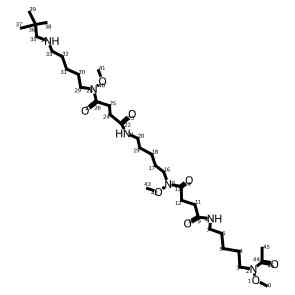 CON(CCCCCNC(=O)CCC(=O)N(CCCCCNC(=O)CCC(=O)N(CCCCCNCC(C)(C)C)OC)OC)C(C)=O